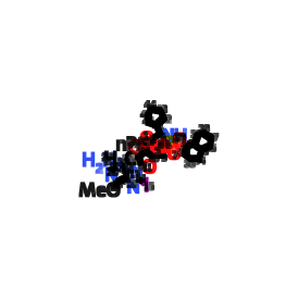 CCCOC(=O)[C@H](NP(=O)(OC[C@H]1OC(n2c(I)nc3c(OC)nc(N)nc32)[C@](C)(O)[C@@H]1O)Oc1cccc2ccccc12)c1ccccc1